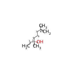 C=C[C@@](C)(O)CCCC(=C)C